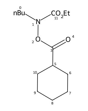 CCCCN(OC(=O)C1CCCCC1)C(=O)OCC